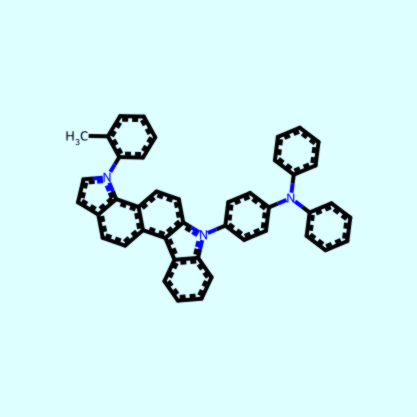 Cc1ccccc1-n1ccc2ccc3c(ccc4c3c3ccccc3n4-c3ccc(N(c4ccccc4)c4ccccc4)cc3)c21